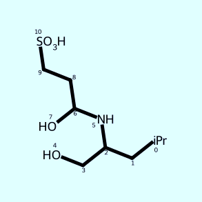 CC(C)CC(CO)NC(O)CCS(=O)(=O)O